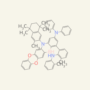 Cc1ccccc1Nc1c(C)cccc1-c1cc(N(c2ccccc2)c2ccccc2)cc2c1Bc1cc3c(cc1N2c1cc2c(cc1C)C(C)(C)CCC2(C)C)Oc1ccccc1O3